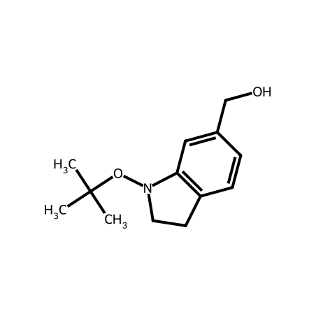 CC(C)(C)ON1CCc2ccc(CO)cc21